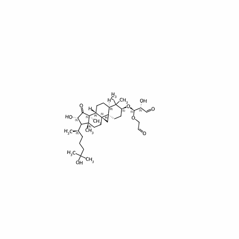 C[C@H](CCCC(C)(C)O)C1[C@H](O)C(=O)[C@@]2(C)[C@@H]3CC[C@H]4C(C)(C)[C@@H](O[C@H](OCC=O)[C@H](O)C=O)CC[C@@]45C[C@@]35CC[C@]12C